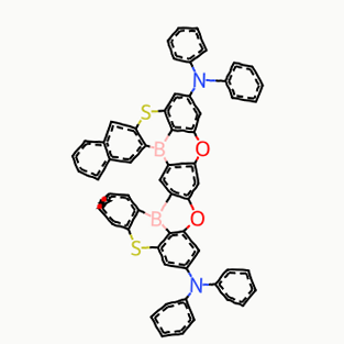 c1ccc(N(c2ccccc2)c2cc3c4c(c2)Sc2cc5ccccc5cc2B4c2cc4c(cc2O3)Oc2cc(N(c3ccccc3)c3ccccc3)cc3c2B4c2cc4ccccc4cc2S3)cc1